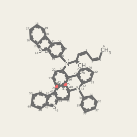 C=C(/C=C\C=C/C)N(c1ccc2c(c1)sc1ccccc12)c1ccccc1-c1ccccc1N(c1ccccc1)c1ccc2c(c1)sc1ccccc12